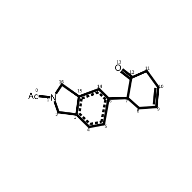 CC(=O)N1Cc2ccc(C3CC=CCC3=O)cc2C1